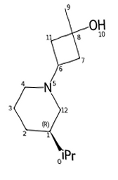 CC(C)[C@H]1CCCN(C2CC(C)(O)C2)C1